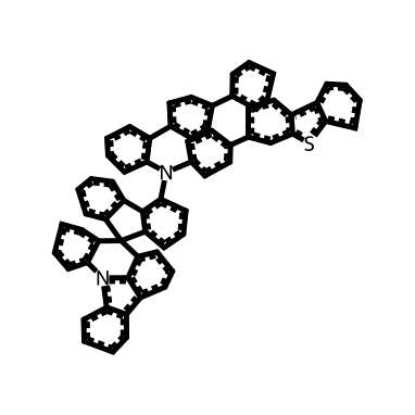 c1ccc(-c2ccc(-c3ccccc3N(c3ccc(-c4ccc5c(c4)sc4ccccc45)cc3)c3cccc4c3-c3ccccc3C43c4ccccc4-n4c5ccccc5c5cccc3c54)cc2)cc1